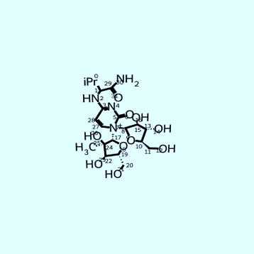 CC(C)C(NC1=NC(=O)[N+]([C@@H]2O[C@H](CO)[C@@H](O)[C@H]2O)([C@@H]2O[C@H](CO)[C@@H](O)[C@@]2(C)O)C=C1)C(N)=O